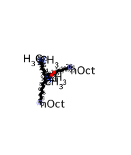 CCCCCCCC/C=C\CCCCCCCCC(CCCCCCCC/C=C\CCCCCCCC)(CCCCCN(C)C)N(C)C